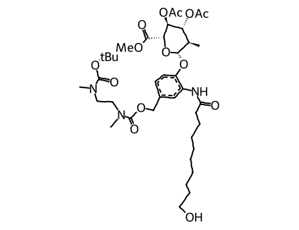 COC(=O)[C@H]1O[C@@H](Oc2ccc(COC(=O)N(C)CCN(C)C(=O)OC(C)(C)C)cc2NC(=O)CCCCCCCCCO)[C@H](C)[C@@H](OC(C)=O)[C@@H]1OC(C)=O